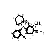 Cc1ccccc1P(c1ccc(C)c(C)c1C)C1CCCCC1